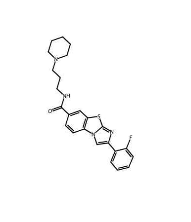 O=C(NCCCN1CCCCC1)c1ccc2c(c1)sc1nc(-c3ccccc3F)cn12